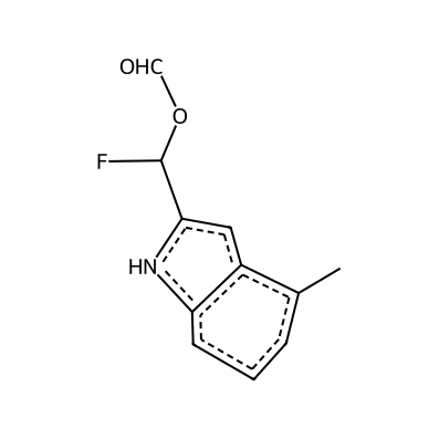 Cc1cccc2[nH]c(C(F)OC=O)cc12